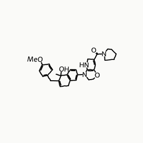 COc1ccc(CC2=CCc3cc(N4CCOC5=C4NCC(C(=O)N4CCCCC4)=C5)ccc3C2(C)O)cc1